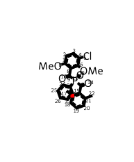 COc1ccc(Cl)c(OC)c1C(=O)P(=O)(C(=O)c1c(C)cccc1C)c1ccccc1